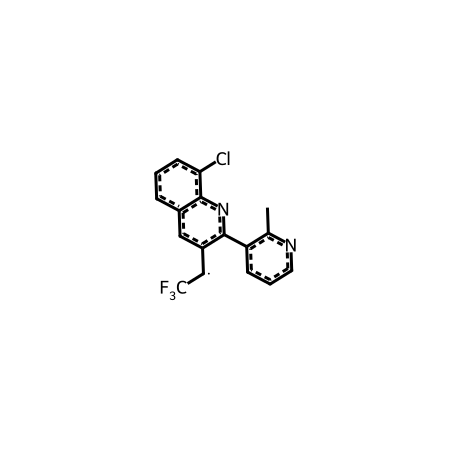 Cc1ncccc1-c1nc2c(Cl)cccc2cc1[CH]C(F)(F)F